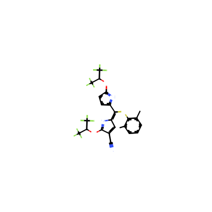 Cc1cccc(C)c1S/C(=C1\C=C(C#N)C(OC(C(F)(F)F)C(F)(F)F)=N1)c1ccc(OC(C(F)(F)F)C(F)(F)F)[nH]1